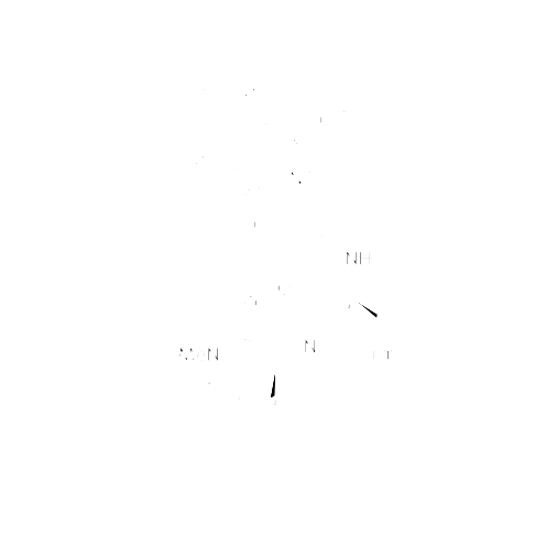 CNC(=O)[C@H](Cc1ccccc1)NC(=O)[C@H](CC(C)C)NCCN1C(=O)c2ccccc2C1=O